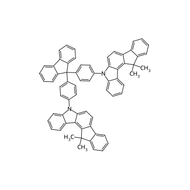 CC1(C)c2ccccc2-c2ccc3c(c21)c1ccccc1n3-c1ccc(C2(c3ccc(-n4c5ccccc5c5c6c(ccc54)-c4ccccc4C6(C)C)cc3)c3ccccc3-c3ccccc32)cc1